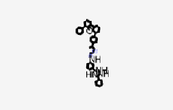 C=C(/C=C\C=C/Nc1cccc(C2NNC(c3ccccc3)N2)c1)c1ccc(C2C=CC=C3c4cccc(-c5ccccc5)c4OC32)cc1